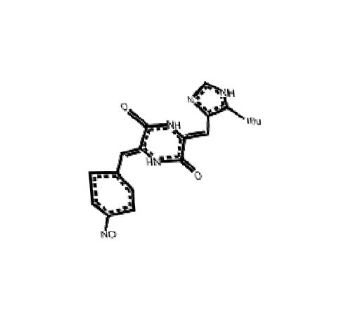 CC(C)(C)c1[nH]cnc1/C=c1\[nH]c(=O)/c(=C/c2ccc(N=O)cc2)[nH]c1=O